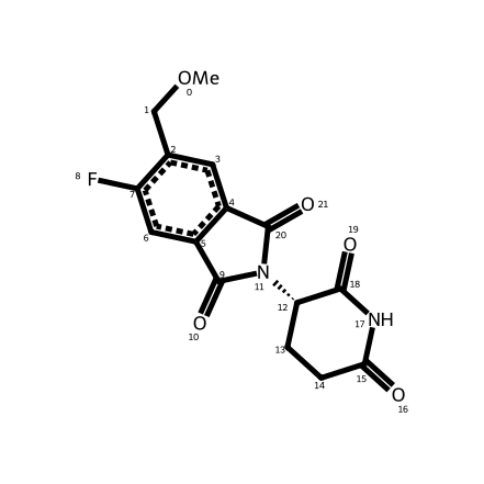 COCc1cc2c(cc1F)C(=O)N([C@H]1CCC(=O)NC1=O)C2=O